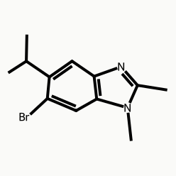 Cc1nc2cc(C(C)C)c(Br)cc2n1C